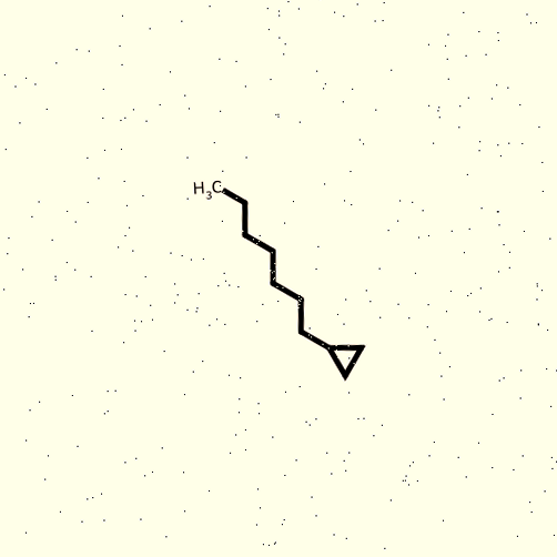 CCCCCCCC1CC1